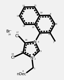 CCCCCCCCCCC[n+]1cn(-c2c(C)ccc3ccccc23)c(Cl)c1Cl.[Br-]